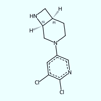 Clc1cc(N2CC[C@@H]3CN[C@@H]3C2)cnc1Cl